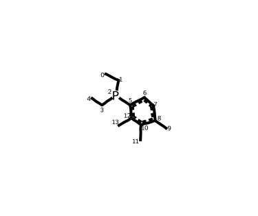 CCP(CC)c1ccc(C)c(C)c1C